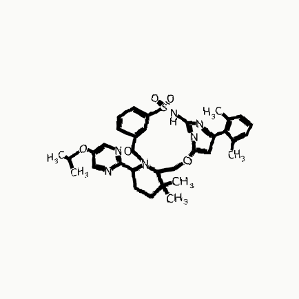 Cc1cccc(C)c1-c1cc2nc(n1)NS(=O)(=O)c1cccc(c1)C(=O)N1C(c3ncc(OC(C)C)cn3)CCC(C)(C)C1CO2